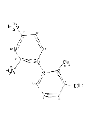 Cc1c(Cl)cccc1-c1ccc(N)nc1N